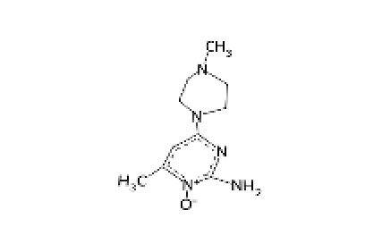 Cc1cc(N2CCN(C)CC2)nc(N)[n+]1[O-]